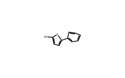 CC(C)c1ccc(-c2ccccc2)s1